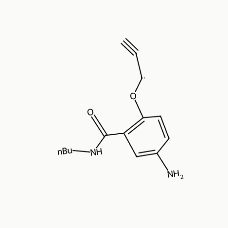 C#C[CH]Oc1ccc(N)cc1C(=O)NCCCC